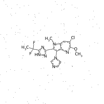 COc1nc2c(-n3ccnc3)c(-c3n[nH]c(C(C)(F)F)n3)n(C)c2cc1Cl